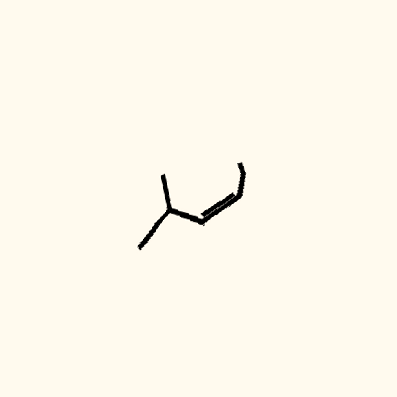 C/C=C\C(C)C